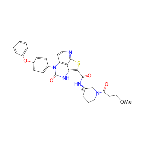 COCCC(=O)N1CCC[C@@H](NC(=O)c2sc3nccc4c3c2NC(=O)N4c2ccc(Oc3ccccc3)cc2)C1